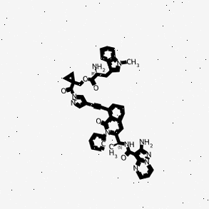 C[C@H](NC(=O)c1c(N)nn2cccnc12)c1cc2cccc(C#Cc3cnn(C(=O)C4(COC(=O)[C@H](N)Cc5cn(C)c6ccccc56)CC4)c3)c2c(=O)n1-c1ccccc1